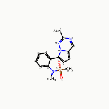 CSc1ncc2ccc(-c3ccccc3N(C)S(C)(=O)=O)n2n1